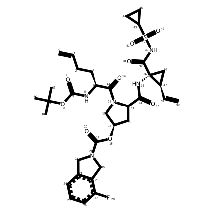 C=CCC[C@H](NC(=O)OC(C)(C)C)C(=O)N1C[C@H](OC(=O)N2Cc3cccc(F)c3C2)CC1C(=O)N[C@]1(C(=O)NS(=O)(=O)C2CC2)C[C@H]1C=C